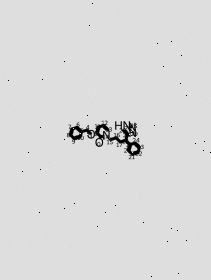 O=c1c(OCc2ccccc2)cccn1CCCC(c1ccccc1)c1c[nH]nn1